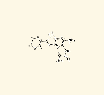 CC(C)(C)OC(=O)Nc1cc(COC2CCCCO2)c(C(F)(F)F)cc1N